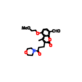 COCCOc1ccc(C=O)c2oc(=O)c(CCC(=O)N3CCOCC3)c(C)c12